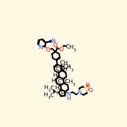 C=C(C)[C@@H]1CC[C@]2(NCCN3CCS(=O)(=O)CC3)CC[C@]3(C)[C@H](CC[C@@H]4[C@@]5(C)CC=C(C6=CCC(COc7ncccc7C#N)(C(=O)OCC)CC6)C(C)(C)[C@@H]5CC[C@]43C)[C@@H]12